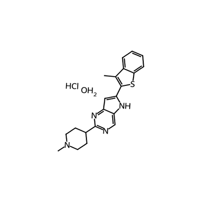 Cc1c(-c2cc3nc(C4CCN(C)CC4)ncc3[nH]2)sc2ccccc12.Cl.O